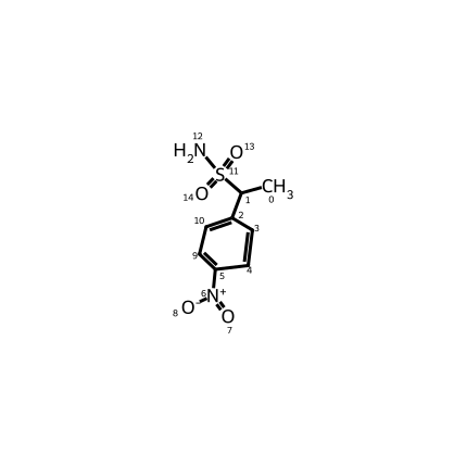 CC(c1ccc([N+](=O)[O-])cc1)S(N)(=O)=O